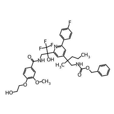 CCCC(C)(CNC(=O)OCc1ccccc1)c1cc(-c2ccc(F)cc2)nc(C(O)(CNC(=O)c2ccc(OCCO)c(OC)c2)C(F)(F)F)c1